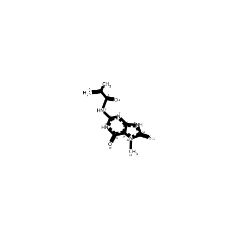 C=C(C)C(=O)Nc1nc2[nH]c(=S)n(C)c2c(=O)[nH]1